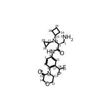 NC[C@@H](C(=O)Nc1ccc(N2CCOCC2=O)c(C(F)F)c1)N(C1CCC1)C1CC1